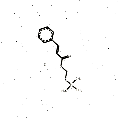 C[N+](C)(C)CCOC(=O)/C=C/c1ccccc1.[Cl-]